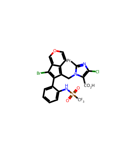 CCCc1nc(Cl)c(C(=O)O)n1Cc1c2ccocc-2c(Br)c1-c1ccccc1NS(=O)(=O)C(F)(F)F